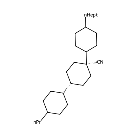 CCCCCCCC1CCC([C@]2(C#N)CC[C@@H](C3CCC(CCC)CC3)CC2)CC1